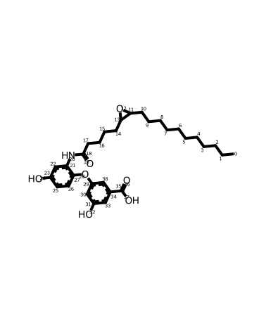 CCCCCCCCCCCC1OC1CCCCC(=O)Nc1cc(O)ccc1Oc1cc(O)cc(C(=O)O)c1